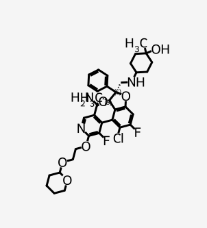 C[C@H]1c2c(cc(F)c(Cl)c2-c2c(C(N)=O)cnc(OCCOC3CCCCO3)c2F)O[C@]1(CNC1CCC(C)(O)CC1)c1ccccc1